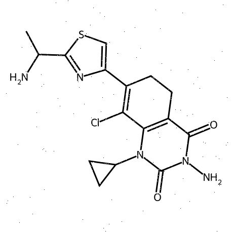 CC(N)c1nc(C2=C(Cl)c3c(c(=O)n(N)c(=O)n3C3CC3)CC2)cs1